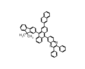 CC1(C)c2ccccc2-c2ccc(-c3c4ccccc4c(-c4ccc5nc(-c6ccccc6)c(-c6ccccc6)nc5c4)c4ccc(-c5ccc6ccccc6c5)cc34)cc21